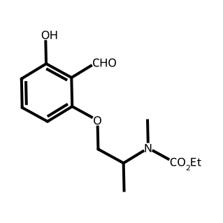 CCOC(=O)N(C)C(C)COc1cccc(O)c1C=O